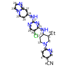 CCC1CN(c2ccc(C#N)cn2)CCC1Nc1nc(Nc2ccn3ccnc3c2)ncc1Cl